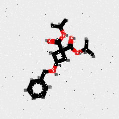 CC(C)OC(=O)C1(C(=O)OC(C)C)CC(OCc2ccccc2)C1